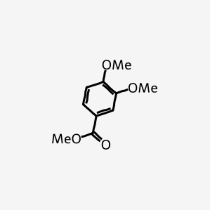 [CH2]OC(=O)c1ccc(OC)c(OC)c1